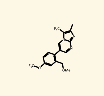 COCc1cc(OC(F)(F)F)ccc1-c1cnc2nc(C)c(C(F)(F)F)n2c1